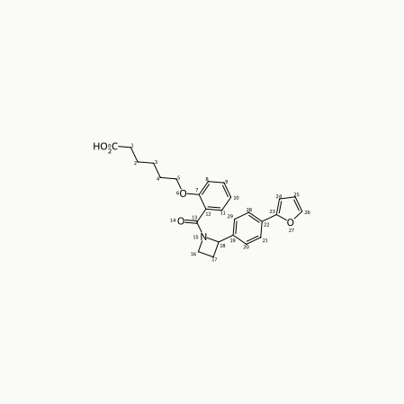 O=C(O)CCCCCOc1ccccc1C(=O)N1CCC1c1ccc(-c2ccco2)cc1